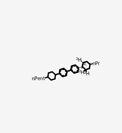 [2H][C@@H]1C[C@@H](CCC)CC([2H])([2H])[C@@H]1c1ccc(-c2ccc(C3CCC(CCCCC)CC3)cc2)cc1